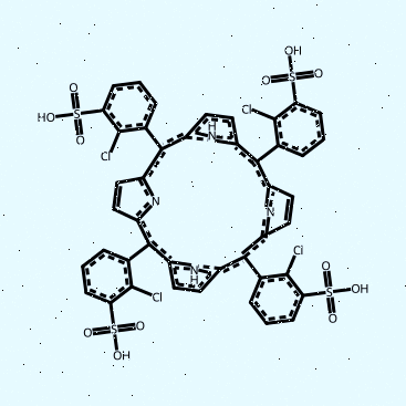 O=S(=O)(O)c1cccc(-c2c3nc(c(-c4cccc(S(=O)(=O)O)c4Cl)c4ccc([nH]4)c(-c4cccc(S(=O)(=O)O)c4Cl)c4nc(c(-c5cccc(S(=O)(=O)O)c5Cl)c5ccc2[nH]5)C=C4)C=C3)c1Cl